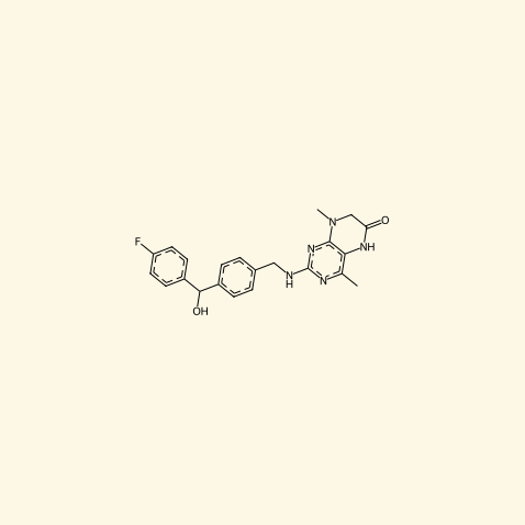 Cc1nc(NCc2ccc(C(O)c3ccc(F)cc3)cc2)nc2c1NC(=O)CN2C